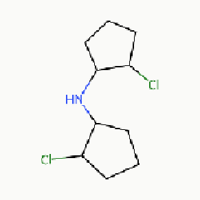 ClC1CCCC1NC1CCCC1Cl